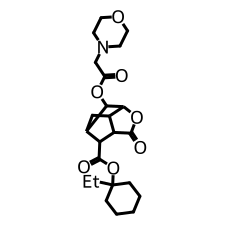 CCC1(OC(=O)C2C3CC4C(OC(=O)C42)C3OC(=O)CN2CCOCC2)CCCCC1